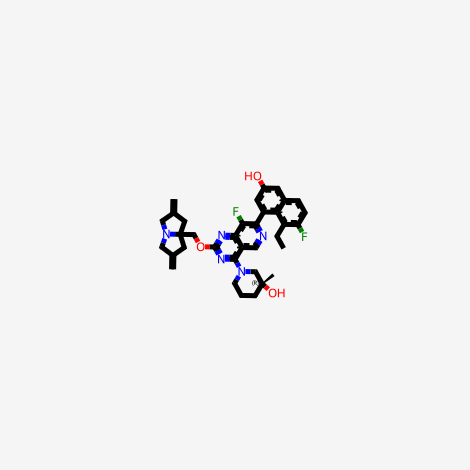 C=C1CN2CC(=C)CC2(COc2nc(N3CCC[C@@](C)(O)C3)c3cnc(-c4cc(O)cc5ccc(F)c(CC)c45)c(F)c3n2)C1